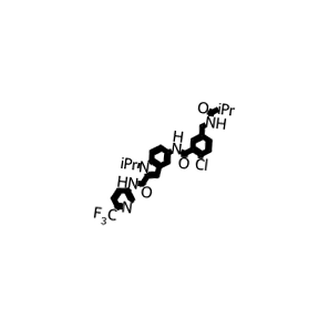 CC(C)C(=O)NCc1ccc(Cl)c(C(=O)Nc2ccc3c(c2)cc(C(=O)Nc2ccc(C(F)(F)F)nc2)n3C(C)C)c1